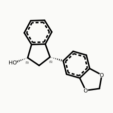 O[C@H]1C[C@@H](c2ccc3c(c2)OCO3)c2ccccc21